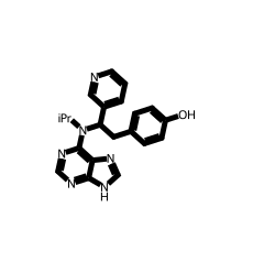 CC(C)N(c1ncnc2[nH]cnc12)C(Cc1ccc(O)cc1)c1cccnc1